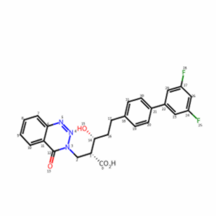 O=C(O)[C@H](Cn1nnc2ccccc2c1=O)[C@H](O)CCc1ccc(-c2cc(F)cc(F)c2)cc1